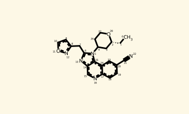 CC[C@@H]1CC(n2c(Cc3ccon3)nc3cnc4ccc(C#N)cc4c32)CCO1